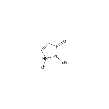 CCCN1C(=O)C=C[NH+]1[O-]